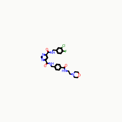 O=C(NCCN1CCOCC1)c1ccc(CNC(=O)c2cc(C(=O)NCc3ccc(F)c(Cl)c3)ncn2)cc1